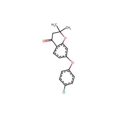 CC1(C)CC(=O)c2ccc(Oc3ccc(Cl)cc3)cc2O1